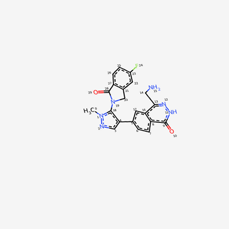 Cn1ncc(-c2ccc3c(=O)[nH]nc(CN)c3c2)c1N1Cc2cc(F)ccc2C1=O